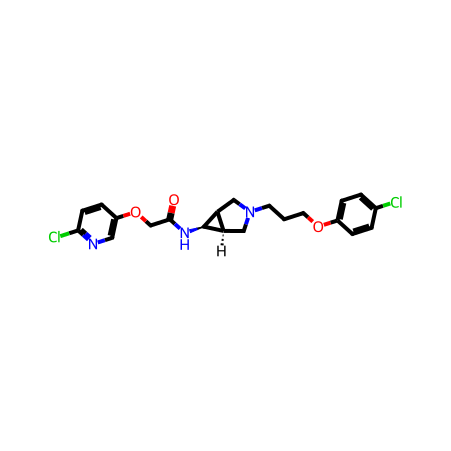 O=C(COc1ccc(Cl)nc1)N[C@H]1C2CN(CCCOc3ccc(Cl)cc3)C[C@H]21